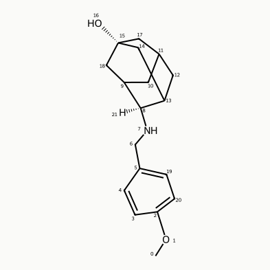 COc1ccc(CN[C@H]2C3CC4CC2C[C@](O)(C4)C3)cc1